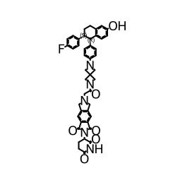 O=C1CCC(N2C(=O)c3cc4c(cc3C2=O)CN(CC(=O)N2CC3(C2)CN(c2ccc([C@@H]5c6ccc(O)cc6CC[C@@H]5c5ccc(F)cc5)cc2)C3)C4)C(=O)N1